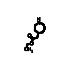 CCOC(=O)CC1CCCNCC1